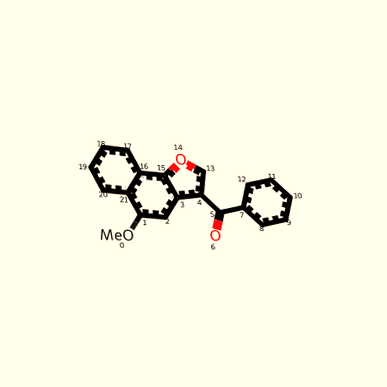 COc1cc2c(C(=O)c3ccccc3)coc2c2ccccc12